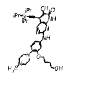 Cc1c(C#C[Si](C(C)C)(C(C)C)C(C)C)c2cnc(Nc3ccc(N4CCN(C)CC4)c(OCCCCO)c3)nc2[nH]c1=O